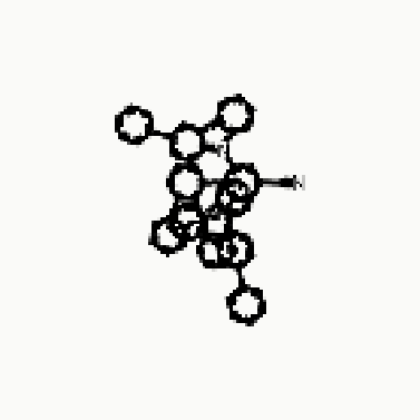 N#Cc1cc(-n2c3ccccc3c3cc(-c4ccccc4)ccc32)c(-c2cccc3c2[Si]2(c4ccccc4-c4cnccc42)c2ccccc2-3)c(-n2c3ccccc3c3cc(-c4ccccc4)ccc32)c1